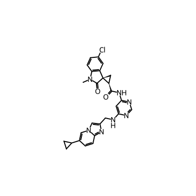 CN1C(=O)[C@]2(C[C@H]2C(=O)Nc2cc(NCc3cn4cc(C5CC5)ccc4n3)ncn2)c2cc(Cl)ccc21